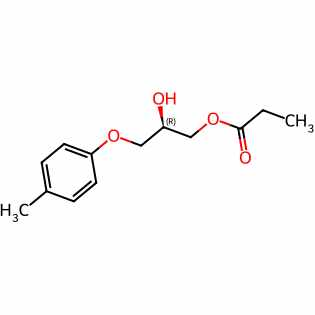 CCC(=O)OC[C@H](O)COc1ccc(C)cc1